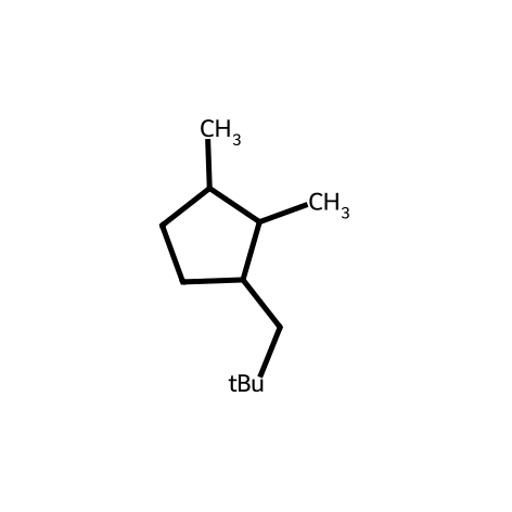 CC1CCC(CC(C)(C)C)C1C